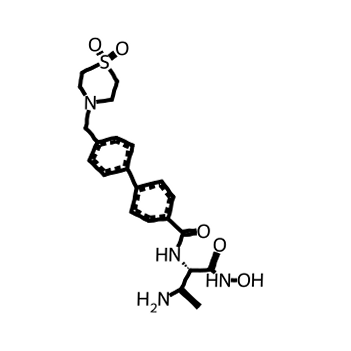 C=C(N)[C@H](NC(=O)c1ccc(-c2ccc(CN3CCS(=O)(=O)CC3)cc2)cc1)C(=O)NO